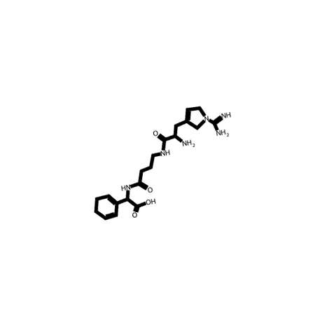 N=C(N)N1CC=C(CC(N)C(=O)NCCCC(=O)NC(C(=O)O)C2=CCCC=C2)C1